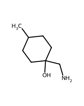 CC1CCC(O)(CN)CC1